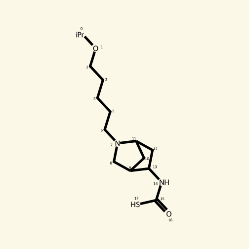 CC(C)OCCCCCN1CC2CC1CC2NC(=O)S